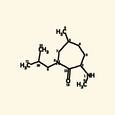 CNC1CCC(C)CN(CC(C)C)C1=O